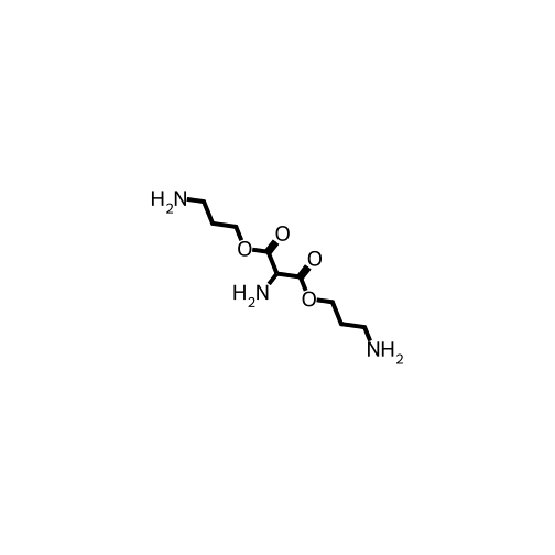 NCCCOC(=O)C(N)C(=O)OCCCN